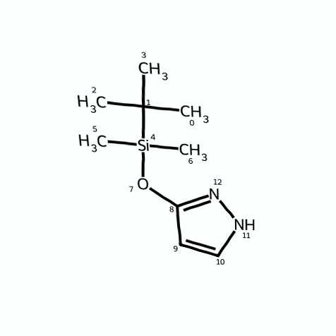 CC(C)(C)[Si](C)(C)Oc1cc[nH]n1